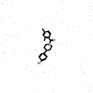 Cc1ccc(C(=O)N2CCC(c3ccc(C#N)cc3)CC2)c(C)c1